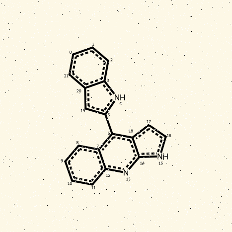 c1ccc2[nH]c(-c3c4ccccc4nc4[nH]ccc34)cc2c1